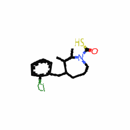 CC1C(Cc2ccccc2Cl)CCCN(C(=O)S)C1C